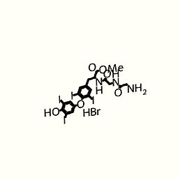 Br.COC(=O)C(Cc1cc(I)c(Oc2cc(I)c(O)c(I)c2)c(I)c1)NC(=O)CNC(=O)CN